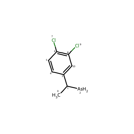 CC([AsH2])c1ccc(Cl)c(Cl)c1